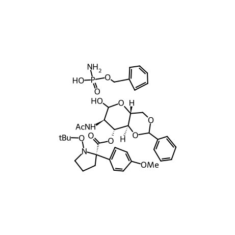 COc1ccc([C@@]2(C(=O)O[C@H]3[C@@H]4OC(c5ccccc5)OC[C@H]4OC(O)[C@@H]3NC(C)=O)CCCN2OC(C)(C)C)cc1.NP(=O)(O)OCc1ccccc1